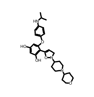 CC(C)Nc1ccc(Oc2cc(O)cc(O)c2C2=CCN(C3CCN(C4CCOCC4)CC3)O2)cc1